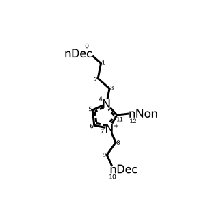 CCCCCCCCCCCCCn1cc[n+](CCCCCCCCCCCC)c1CCCCCCCCC